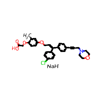 Cc1cc(OC/C=C(\c2ccc(Cl)cc2)c2ccc(C#CCN3CCOCC3)cc2)ccc1OCC(=O)O.[NaH]